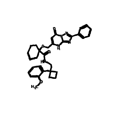 COc1ccccc1C1(CNC(=O)C2(OCc3cc(=O)n4nc(-c5ccccc5)nc4[nH]3)CCCCC2)CCC1